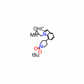 CC(C)(C)OC(=O)N1CCC(c2cccc3cc(C=O)n(CC4CC4)c23)CC1.[Mn]